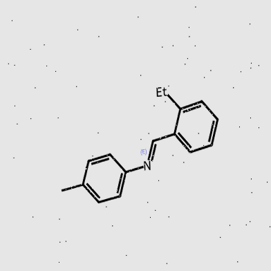 CCc1ccccc1/C=N/c1ccc(C)cc1